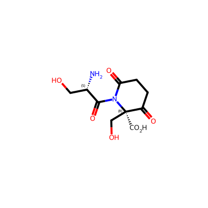 N[C@@H](CO)C(=O)N1C(=O)CCC(=O)[C@]1(CO)C(=O)O